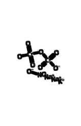 O=N[O-].[K+].[Na+].[Na+].[O]=[Cr](=[O])([O-])[O][Cr](=[O])(=[O])[O-]